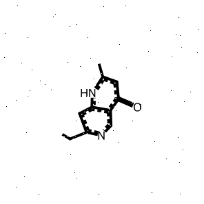 CCc1cc2[nH]c(C)cc(=O)c2cn1